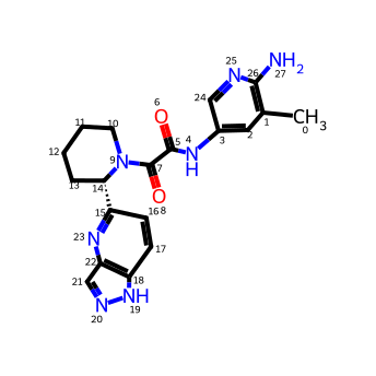 Cc1cc(NC(=O)C(=O)N2CCCC[C@H]2c2ccc3[nH]ncc3n2)cnc1N